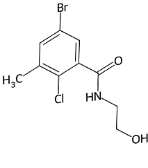 Cc1cc(Br)cc(C(=O)NCCO)c1Cl